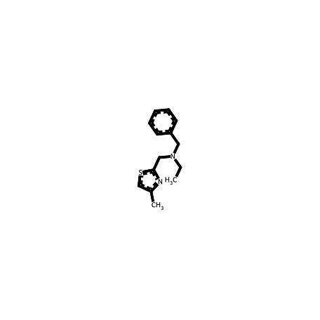 CCN(Cc1ccccc1)Cc1nc(C)cs1